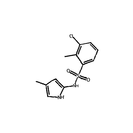 Cc1c[nH]c(NS(=O)(=O)c2cccc(Cl)c2C)c1